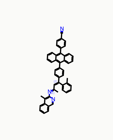 CC(/C=C(/c1ccc(-c2c3ccccc3c(-c3ccc(C#N)cc3)c3ccccc23)cc1)c1ccccc1C)=N\c1ncc2ccccc2c1C